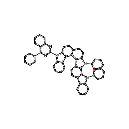 c1ccc(-c2nc(-n3c4ccccc4c4c5c(ccc43)ccc3c5c4ccc5c6ccccc6n(-c6ccccc6)c5c4n3-c3ccccc3)nc3ccccc23)cc1